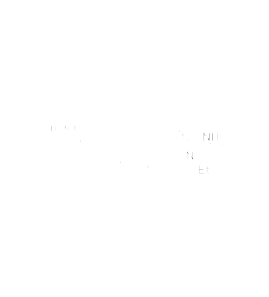 [CH2]CN(CCCCCCCC/C=C\CCCCCCCC)C(N)=O